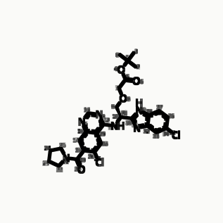 CC(C)(C)OC(=O)COC[C@H](Nc1ncnc2cc(C(=O)N3CCCC3)c(Cl)cc12)c1nc2cc(Cl)ccc2[nH]1